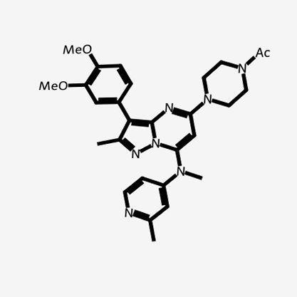 COc1ccc(-c2c(C)nn3c(N(C)c4ccnc(C)c4)cc(N4CCN(C(C)=O)CC4)nc23)cc1OC